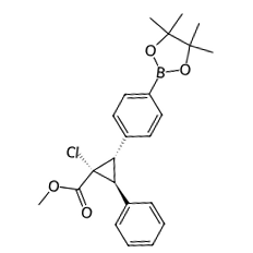 COC(=O)[C@]1(Cl)[C@H](c2ccccc2)[C@H]1c1ccc(B2OC(C)(C)C(C)(C)O2)cc1